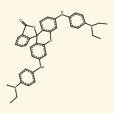 CCN(C)c1ccc(Nc2ccc3c(c2)Oc2cc(Nc4ccc(N(CC)CC)cc4)ccc2C32OC(=O)c3ccccc32)cc1